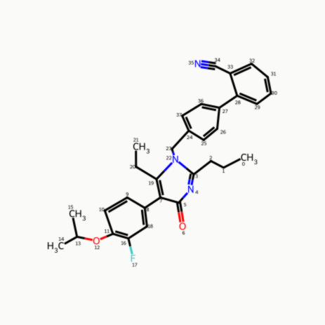 CCCc1nc(=O)c(-c2ccc(OC(C)C)c(F)c2)c(CC)n1Cc1ccc(-c2ccccc2C#N)cc1